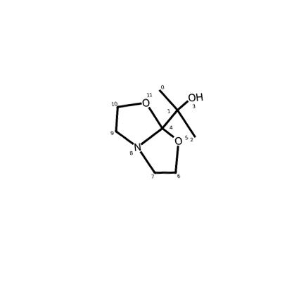 CC(C)(O)C12OCCN1CCO2